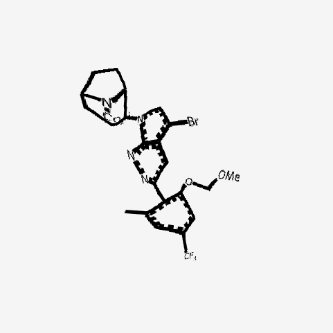 COCOc1cc(C(F)(F)F)cc(C)c1-c1cc2c(Br)cn(C3CCC4CCC3N4C(=O)O)c2nn1